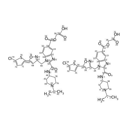 CC(C)N1CCC(NC(=O)c2nc3cc(C(=O)OCC(=O)O)ccc3n2Cc2cc(-c3ccc(Cl)s3)on2)CC1.CC(C)N1CCC(NC(=O)c2nc3cc(C(=O)OCC(=O)O)ccc3n2Cc2cc(-c3ccc(Cl)s3)on2)CC1